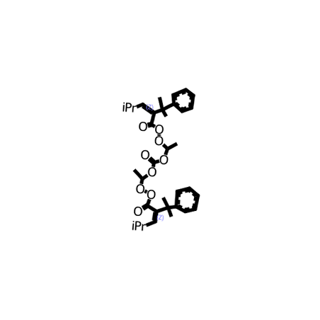 CC(C)/C=C(\C(=O)OOC(C)OC(=O)OC(C)OOC(=O)/C(=C\C(C)C)C(C)(C)c1ccccc1)C(C)(C)c1ccccc1